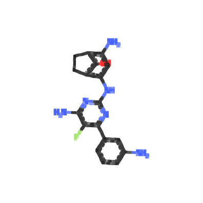 Nc1cccc(-c2nc(Nc3cc(N)c4c(O)c3CC4)nc(N)c2F)c1